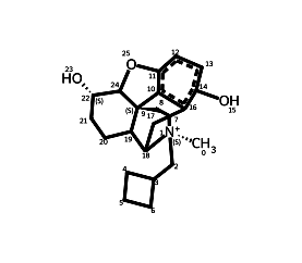 C[N@@+]1(CC2CCC2)CC[C@@]23c4c5ccc(O)c4CC1C2CC[C@H](O)C3O5